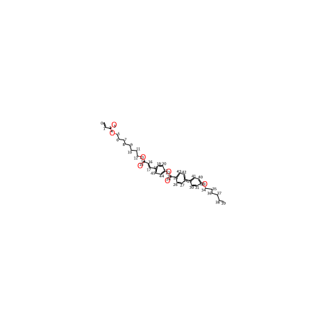 C=CC(=O)OCCCCCCCCOC(=O)/C=C/c1ccc(OC(=O)c2ccc(-c3ccc(OCCCCCC)cc3)cc2)cc1